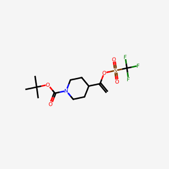 C=C(OS(=O)(=O)C(F)(F)F)C1CCN(C(=O)OC(C)(C)C)CC1